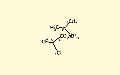 CN(C)C.O=C(O)C(Cl)Cl